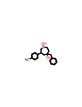 N#Cc1ccc(C2CN(O)CCC(O)(Cc3ccccc3)C2)cc1